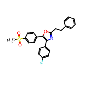 CS(=O)(=O)c1ccc(-c2oc(CCc3ccccc3)nc2-c2ccc(F)cc2)cc1